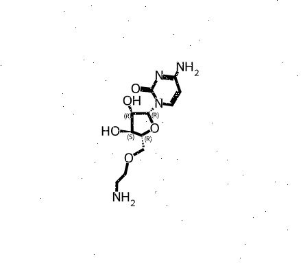 NCCOC[C@H]1O[C@@H](n2ccc(N)nc2=O)[C@H](O)[C@@H]1O